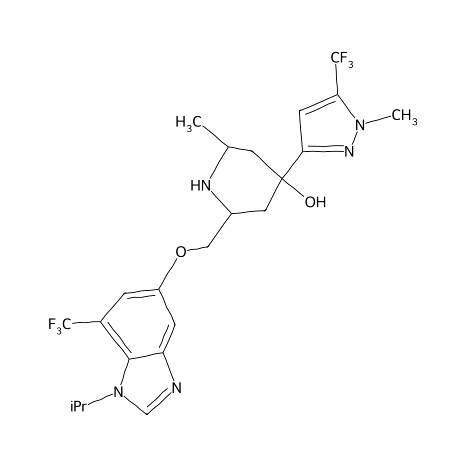 CC1CC(O)(c2cc(C(F)(F)F)n(C)n2)CC(COc2cc(C(F)(F)F)c3c(c2)ncn3C(C)C)N1